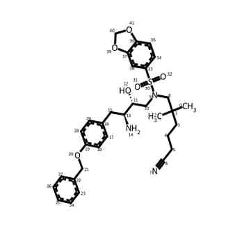 CC(C)(CCCC#N)CN(C[C@@H](O)[C@@H](N)Cc1ccc(OCc2ccccc2)cc1)S(=O)(=O)c1ccc2c(c1)OCO2